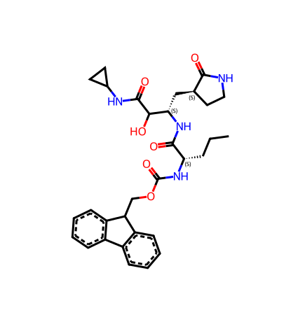 CCC[C@H](NC(=O)OCC1c2ccccc2-c2ccccc21)C(=O)N[C@@H](C[C@@H]1CCNC1=O)C(O)C(=O)NC1CC1